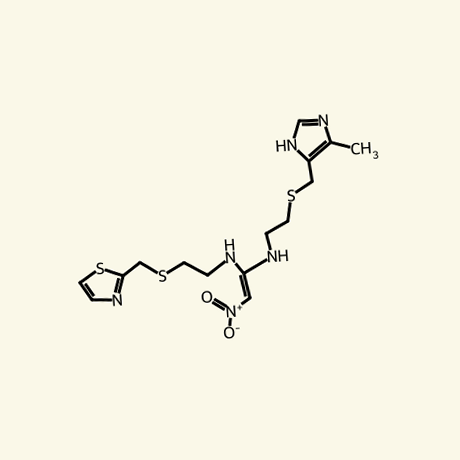 Cc1nc[nH]c1CSCCNC(=C[N+](=O)[O-])NCCSCc1nccs1